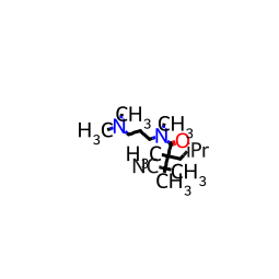 CC(C)CC(C)(C(=O)N(C)CCCN(C)C)C(C)(C)C#N